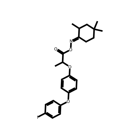 CC1CC(C)(C)CCC1=NOC(=O)C(C)Oc1ccc(Oc2ccc(I)cc2)cc1